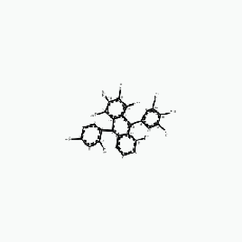 Fc1ccc(-c2c3cccc(F)c3c(-c3cc(F)c(F)c(F)c3)c3c(F)c(F)c(F)c(F)c23)c(F)c1